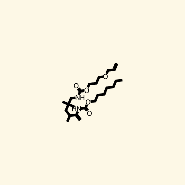 C=CCOCCCOC(=O)NCC(C)(C)CC(C)C(=C)NC(=O)OCCCCCCC